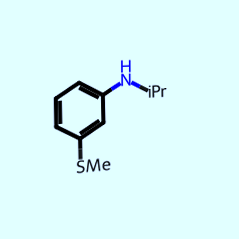 CSc1cccc(NC(C)C)c1